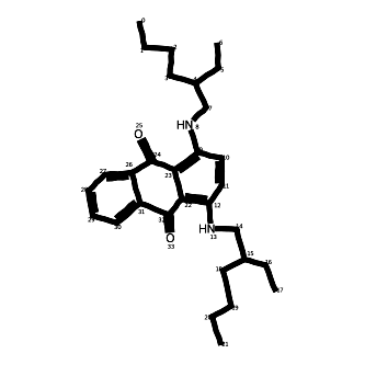 CCCCC(CC)CNc1ccc(NCC(CC)CCCC)c2c1C(=O)c1ccccc1C2=O